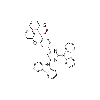 c1ccc2c(c1)Oc1cc(-c3nc(-n4c5ccccc5c5ccccc54)nc(-n4c5ccccc5c5ccccc54)n3)ccc1C21c2ccccc2Sc2ccccc21